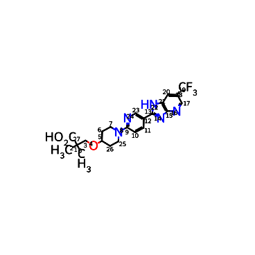 CC(C)(COC1CCN(c2ccc(-c3nc4ncc(C(F)(F)F)cc4[nH]3)cn2)CC1)C(=O)O